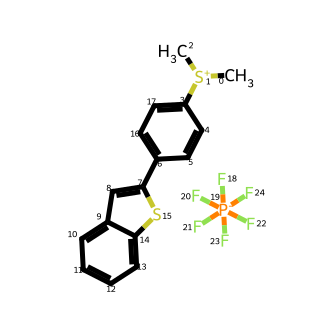 C[S+](C)c1ccc(-c2cc3ccccc3s2)cc1.F[P-](F)(F)(F)(F)F